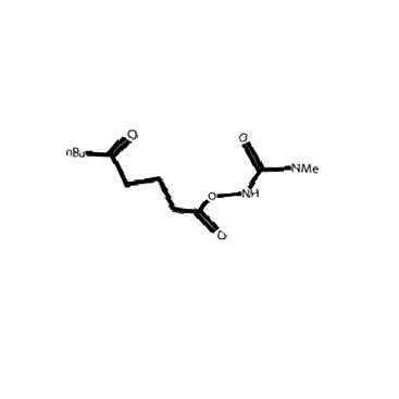 CCCCC(=O)CCCC(=O)ONC(=O)NC